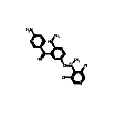 CNc1ccc(O[C@H](C)c2c(Cl)cncc2Cl)cc1C(=N)c1ccc(N)nc1